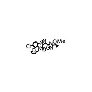 COC1(c2noc(C3N=CN4c5ccc(Cl)cc5N(CC5CCCO5)C(=O)C34)n2)CC1